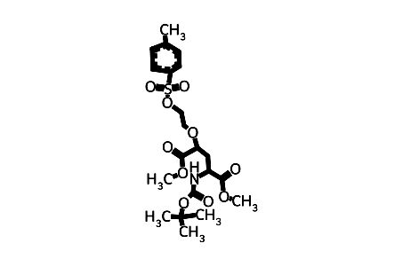 COC(=O)C(CC(OCCOS(=O)(=O)c1ccc(C)cc1)C(=O)OC)NC(=O)OC(C)(C)C